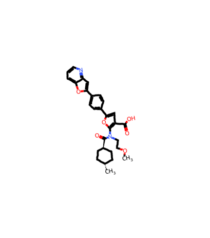 COCCN(c1oc(-c2ccc(-c3cc4ncccc4o3)cc2)cc1C(=O)O)C(=O)[C@H]1CC[C@H](C)CC1